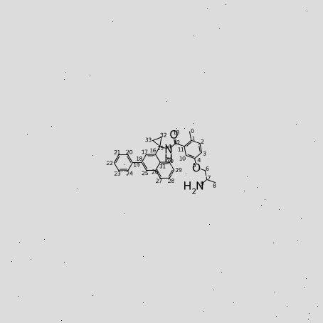 Cc1ccc(OCC(C)N)cc1C(=O)NC1(c2cc(-c3ccccc3)cc3ccccc23)CC1